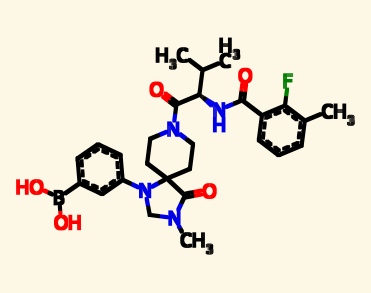 Cc1cccc(C(=O)N[C@@H](C(=O)N2CCC3(CC2)C(=O)N(C)CN3c2cccc(B(O)O)c2)C(C)C)c1F